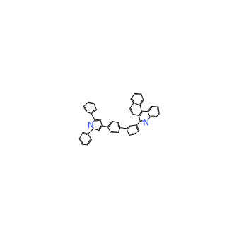 c1ccc(-c2cc(-c3ccc(-c4cccc(-c5nc6ccccc6c6c5ccc5ccccc56)c4)cc3)cc(-c3ccccc3)n2)cc1